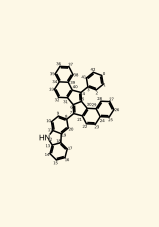 c1ccc(C2=C3C(=C(c4ccc5[nH]c6ccccc6c5c4)c4ccc5ccccc5c43)c3ccc4ccccc4c32)cc1